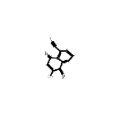 N#Cc1cccc2c1C(=O)C=C(Cl)C2=O